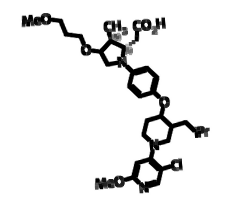 COCCCOC1CN(c2ccc(OC3CCN(c4cc(OC)ncc4Cl)CC3CC(C)C)cc2)[C@@H](CC(=O)O)[C@@H]1C